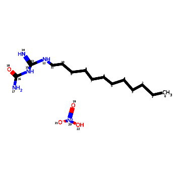 CCCCCCCCCCCCNC(=N)NC(N)=O.O=[N+]([O-])O